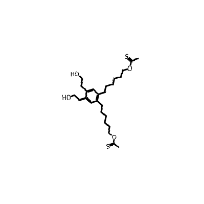 CC(=S)OCCCCCCc1cc(CCO)c(CCO)cc1CCCCCCOC(C)=S